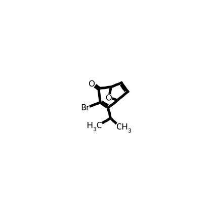 CC(C)C1=C(Br)C(=O)C2C=CC1O2